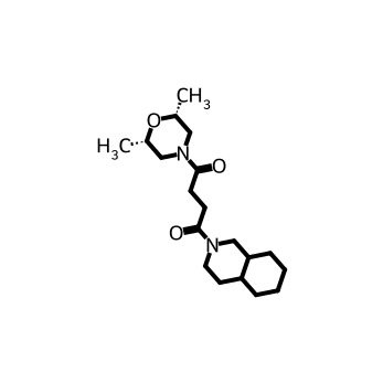 C[C@@H]1CN(C(=O)CCC(=O)N2CCC3CCCCC3C2)C[C@H](C)O1